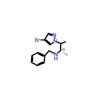 CC([C@H](C)NCc1ccccc1)n1cc(Br)cn1